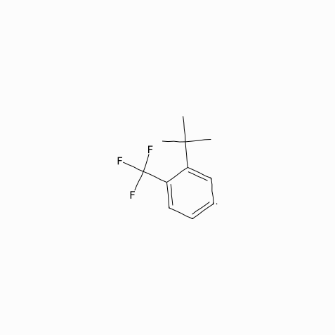 CC(C)(C)c1c[c]ccc1C(F)(F)F